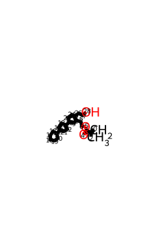 C=C(C)C(=O)OCCc1cc(-c2ccc(C3CCCCC3)cc2)ccc1CCO